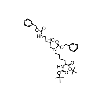 CC(C)(C)OC(=O)N[C@@H](CCCCN(C[C@@H](O)CCNC(=O)OCc1ccccc1)C(=O)OCc1ccccc1)C(=O)OC(C)(C)C